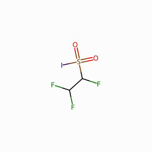 O=S(=O)(I)C(F)C(F)F